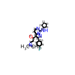 CN(C)C=CC(=O)c1c(-c2ccc(F)cc2)nn2c(NC3CCCC3)nccc12